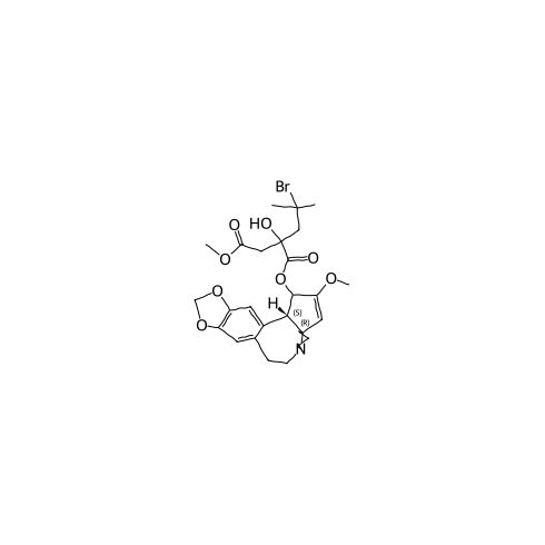 COC(=O)CC(O)(CC(C)(C)Br)C(=O)OC1C(OC)=C[C@]23CCCN2CCc2cc4c(cc2[C@H]13)OCO4